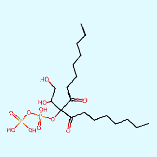 CCCCCCCC(=O)C(OP(=O)(O)OP(=O)(O)O)(C(=O)CCCCCCC)C(O)CO